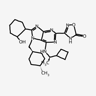 C[C@@H](Nc1nc(-c2noc(=O)[nH]2)nc2nc(C3CCCCC3O)n(C[C@H]3CC[C@H](C)CC3)c12)C1CCC1